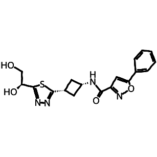 O=C(N[C@H]1C[C@@H](c2nnc([C@@H](O)CO)s2)C1)c1cc(-c2ccccc2)on1